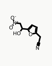 N#CCc1ccc(C(O)C[N+](=O)[O-])o1